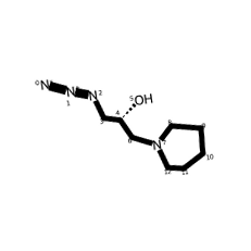 [N-]=[N+]=NC[C@H](O)CN1CCCCC1